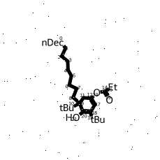 CCCCCCCCCCCCCCCCCCC1(C(C)(C)C)CC(OC(=O)CC)=CC(C(C)(C)C)=C1O